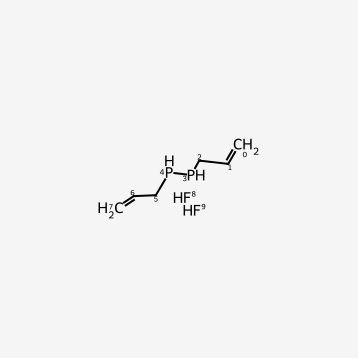 C=CCPPCC=C.F.F